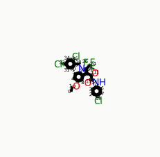 CCOc1ccc2c(c1)c(C(=O)C(=O)Nc1ccc(Cl)cc1)c(C(F)(F)F)n2Cc1ccc(Cl)cc1Cl